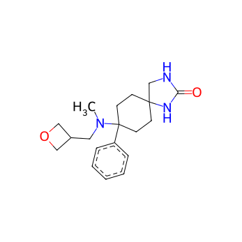 CN(CC1COC1)C1(c2ccccc2)CCC2(CC1)CNC(=O)N2